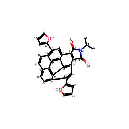 CC(C)n1c(=O)c2c3cc(-c4ccco4)c4ccc5ccc6c(-c7ccco7)cc(c2c1=O)c1c6c5c4c31